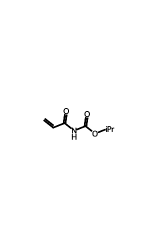 C=CC(=O)NC(=O)OC(C)C